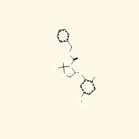 COc1ccc(F)c(S[C@H]2COC(C)(C)N2C(=O)OCc2ccccc2)c1